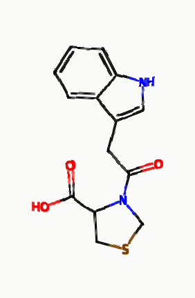 O=C(O)C1CSCN1C(=O)Cc1c[nH]c2ccccc12